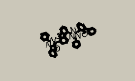 c1ccc(-c2nc(-c3cccc4c3oc3ccccc34)nc(-c3cccc4sc5c(-c6nc(-c7ccccc7)nc7c6oc6ccccc67)cccc5c34)n2)cc1